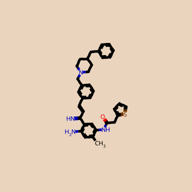 Cc1cc(N)c(C(=N)/C=C/c2cccc(CN3CCC(Cc4ccccc4)CC3)c2)cc1NC(=O)Cc1cccs1